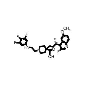 COc1ccc2ncc(F)c([C@H](F)CCC3(C(=O)O)CCN(CCNc4cc(F)c(F)c(F)c4)CC3)c2c1